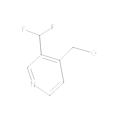 [O]Cc1ccncc1C(F)F